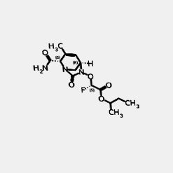 CCC(C)OC(=O)[C@H](F)ON1C(=O)N2C[C@H]1C=C(C)[C@H]2C(N)=O